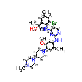 COc1cc(Nc2ncc(Br)c(Nc3ccc(C)cc3C(C)(C)O)n2)c(C)cc1N1CCC(N2CCN(C)CC2)CC1